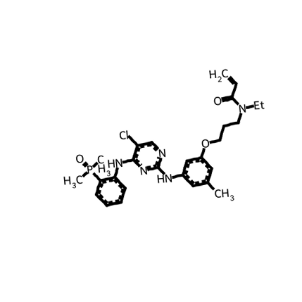 C=CC(=O)N(CC)CCCOc1cc(C)cc(Nc2ncc(Cl)c(Nc3ccccc3P(C)(C)=O)n2)c1